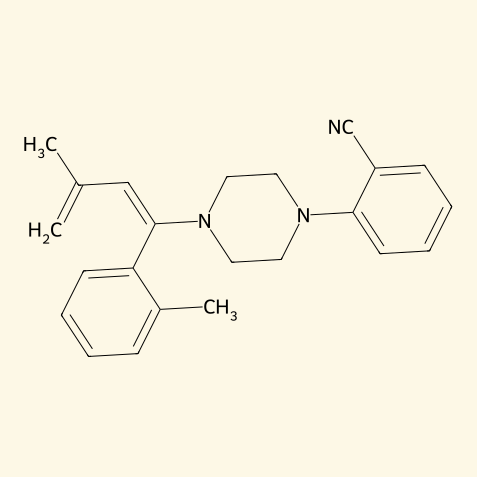 C=C(C)/C=C(\c1ccccc1C)N1CCN(c2ccccc2C#N)CC1